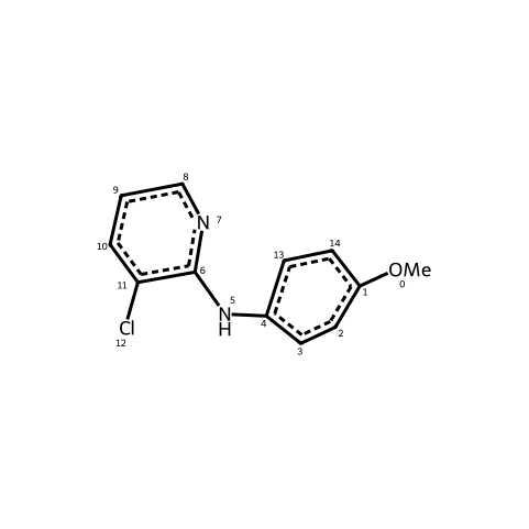 COc1ccc(Nc2ncccc2Cl)cc1